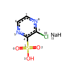 O=S(=O)(O)c1nccnc1Cl.[NaH]